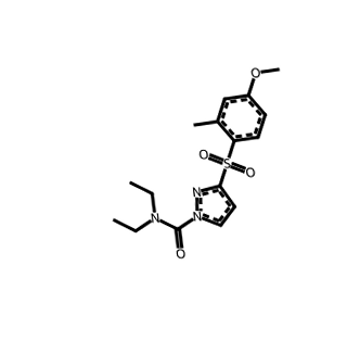 CCN(CC)C(=O)n1ccc(S(=O)(=O)c2ccc(OC)cc2C)n1